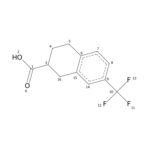 O=C(O)C1CCc2ccc(C(F)(F)F)cc2C1